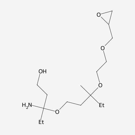 CCC(C)(CCOC(N)(CC)CCO)OCCOCC1CO1